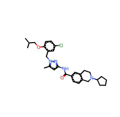 Cc1cc(NC(=O)c2ccc3c(c2)CCN(C2CCCC2)C3)nn1Cc1cc(Cl)ccc1OCC(C)C